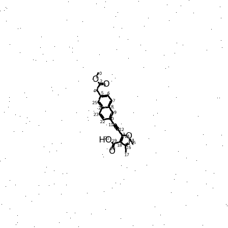 COC(=O)Cc1ccc2cc(C#Cc3onc(C)c3C(=O)O)ccc2c1